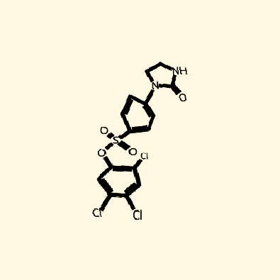 O=C1NCCN1c1ccc(S(=O)(=O)Oc2cc(Cl)c(Cl)cc2Cl)cc1